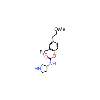 COCCc1ccc(OC(=O)NC2CCNC2)c(C(F)(F)F)c1